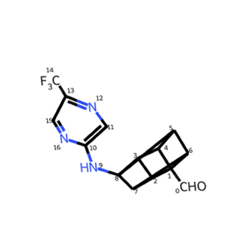 O=CC12C3C4C1C1C2C3C41Nc1cnc(C(F)(F)F)cn1